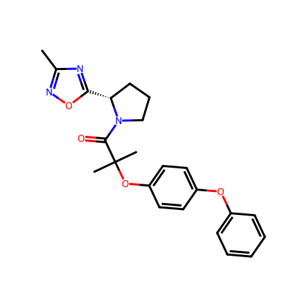 Cc1noc([C@@H]2CCCN2C(=O)C(C)(C)Oc2ccc(Oc3ccccc3)cc2)n1